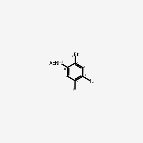 CCc1cc(I)c(C)cc1NC(C)=O